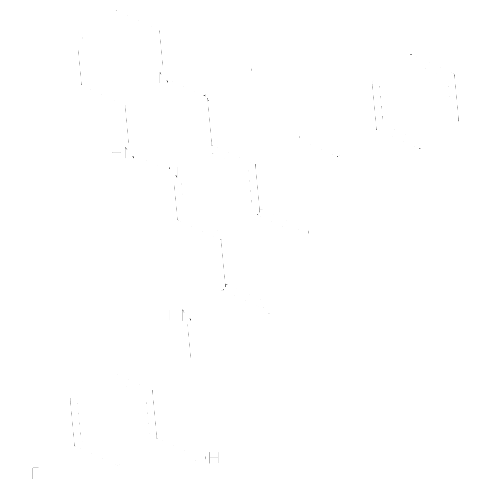 O=C(NCc1ccc(F)cc1O)c1cn2c(c(OCc3ccccc3)c1=O)C(=O)N1CCOCC1N2